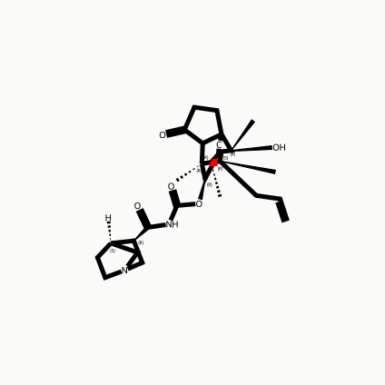 C=CC[C@]1(C)C[C@@H](OC(=O)NC(=O)[C@H]2CN3CC[C@@H]2C3)[C@@]2(C)C3C(=O)CCC3(CC[C@H]2C)[C@@H](C)[C@@H]1O